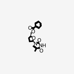 Cc1cn([C@H]2CC[C@@H](COC(=O)c3ccccc3)O2)c(=O)[nH]c1=O